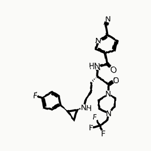 N#Cc1ccc(C(=O)N[C@@H](CCCN[C@@H]2C[C@H]2c2ccc(F)cc2)C(=O)N2CCN(CC(F)(F)F)CC2)cn1